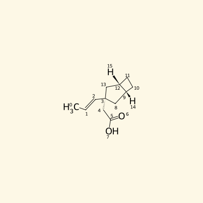 C/C=C/[C@]1(CC(=O)O)C[C@H]2CC[C@H]2C1